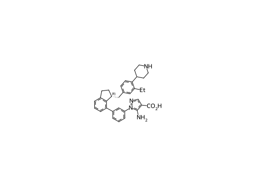 CCc1cc(C[C@H]2CCc3cccc(-c4cccc(-n5ncc(C(=O)O)c5N)c4)c32)ccc1C1CCNCC1